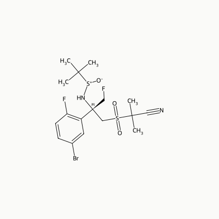 CC(C)(C)[S+]([O-])N[C@](CF)(CS(=O)(=O)C(C)(C)C#N)c1cc(Br)ccc1F